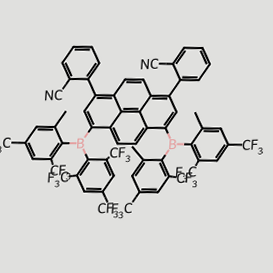 Cc1cc(C(F)(F)F)cc(C(F)(F)F)c1B(c1c(C)cc(C(F)(F)F)cc1C(F)(F)F)c1cc(-c2ccccc2C#N)c2ccc3c(-c4ccccc4C#N)cc(B(c4c(C)cc(C(F)(F)F)cc4C(F)(F)F)c4c(C(F)(F)F)cc(C(F)(F)F)cc4C(F)(F)F)c4ccc1c2c43